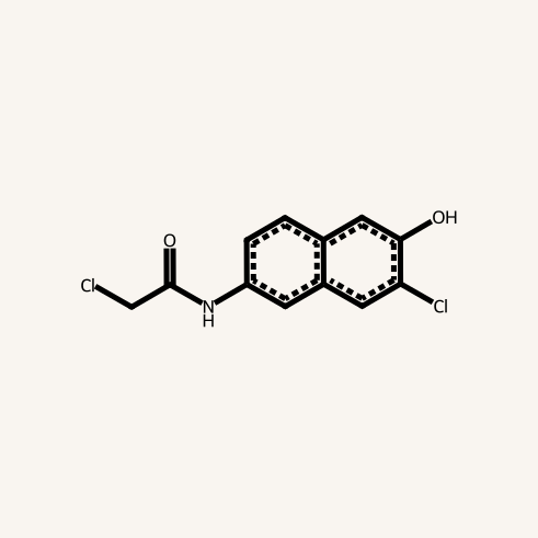 O=C(CCl)Nc1ccc2cc(O)c(Cl)cc2c1